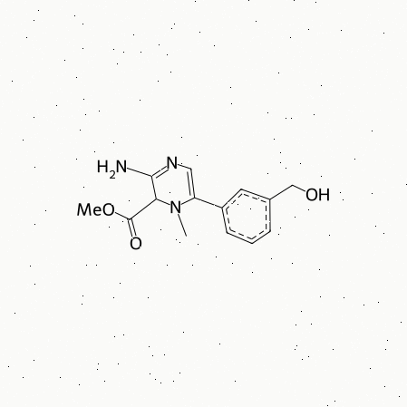 COC(=O)C1C(N)=NC=C(c2cccc(CO)c2)N1C